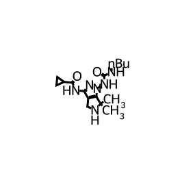 CCCCNC(=O)Nn1nc(NC(=O)C2CC2)c2c1C(C)(C)NC2